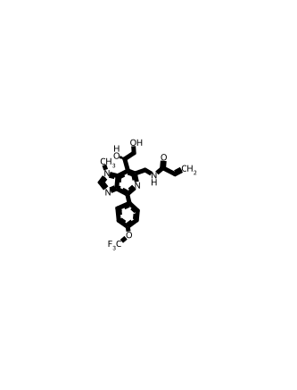 C=CC(=O)NCc1nc(-c2ccc(OC(F)(F)F)cc2)c2ncn(C)c2c1[C@@H](O)CO